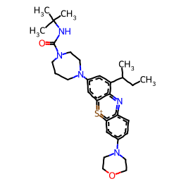 CCC(C)c1cc(N2CCCN(C(=O)NC(C)(C)C)CC2)cc2[s+]c3cc(N4CCOCC4)ccc3nc12